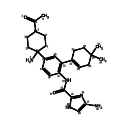 CC(=O)N1CCC(N)(c2ccc(NC(=O)c3nc(N)c[nH]3)c(C3=CCC(C)(C)CC3)c2)CC1